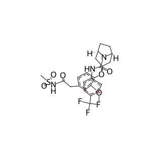 COc1cc(CC(=O)NS(C)(=O)=O)ccc1O[C@H]1C[C@H]2CC[C@@H](C1)N2C(=O)Nc1ccc(C(F)(F)F)cc1